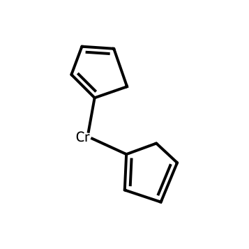 C1=CC[C]([Cr][C]2=CC=CC2)=C1